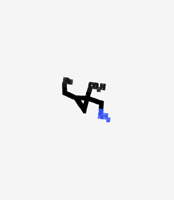 CCC(C)CC1CC1(CN)C(=O)O